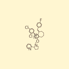 Fc1ccc(/C=C2\CCCCc3c(OCN4CCCC4c4ccccn4)nn(-c4ccc(Cl)cc4Cl)c32)cc1